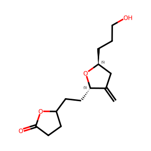 C=C1C[C@H](CCCO)O[C@H]1CCC1CCC(=O)O1